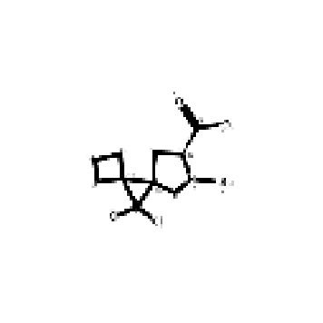 CC(C)(C)C(=O)[C@@H]1C[C@@]2(CN1C(C)(C)C)C(Cl)(Cl)C21CCC1